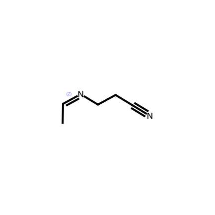 C/C=N\CCC#N